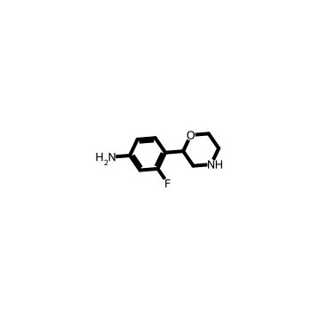 Nc1ccc(C2CNCCO2)c(F)c1